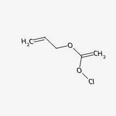 C=CCOC(=C)OCl